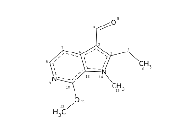 CCc1c(C=O)c2ccnc(OC)c2n1C